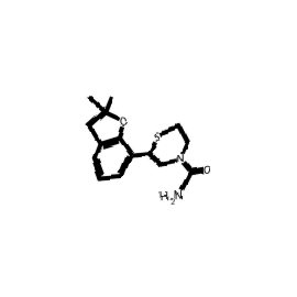 CC1(C)Cc2cccc(C3CN(C(N)=O)CCS3)c2O1